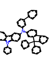 c1ccc(-c2cccc(N(c3ccc4c(c3)C(c3ccccc3)(c3ccccc3)c3ccccc3-4)c3ccc4c(c3)c3ccccc3n4-c3ccccc3)c2)cc1